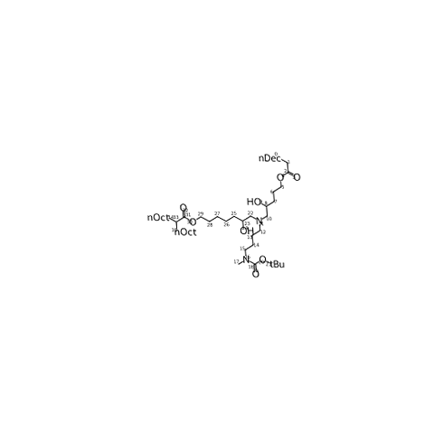 CCCCCCCCCCCC(=O)OCCCC(O)CN(CCCCN(C)C(=O)OC(C)(C)C)CC(O)CCCCCOC(=O)C(CCCCCCCC)CCCCCCCC